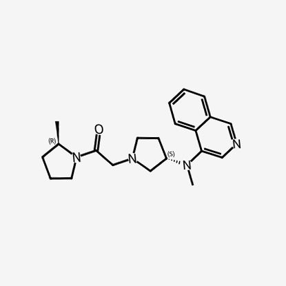 C[C@@H]1CCCN1C(=O)CN1CC[C@H](N(C)c2cncc3ccccc23)C1